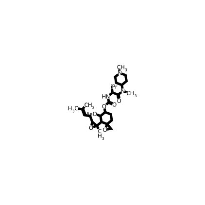 COC1C(OC(=O)NC(C(=O)N(C)C2CCN(C)CC2)C(C)C)CCC2(CO2)C1C1(C)OC1CC=C(C)C